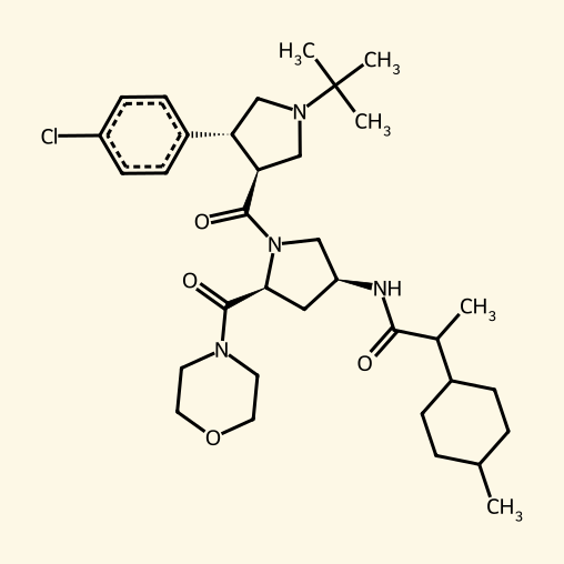 CC1CCC(C(C)C(=O)N[C@H]2C[C@@H](C(=O)N3CCOCC3)N(C(=O)[C@@H]3CN(C(C)(C)C)C[C@H]3c3ccc(Cl)cc3)C2)CC1